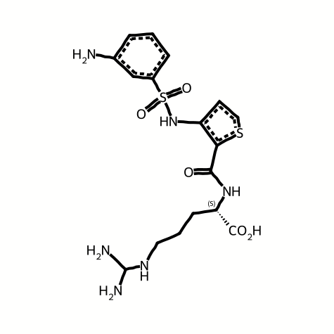 Nc1cccc(S(=O)(=O)Nc2ccsc2C(=O)N[C@@H](CCCNC(N)N)C(=O)O)c1